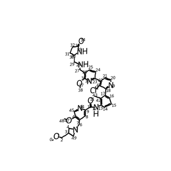 COCC1CN(Cc2cc(C(=O)Nc3cccc(-c4nccc(-c5ccc(CNC[C@H]6CCC(=O)N6)c(OC)n5)c4Cl)c3C)ncc2OC)C1